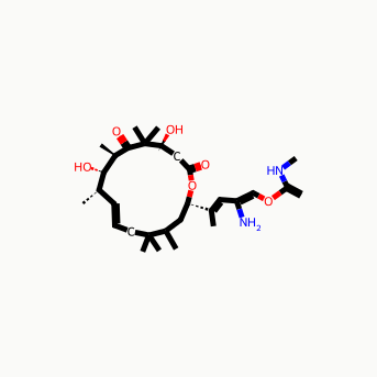 C=C(NC)O/C=C(N)/C=C(\C)[C@@H]1CC(C)C(C)(C)C/C=C/[C@H](C)[C@H](O)[C@@H](C)C(=O)C(C)(C)[C@@H](O)CC(=O)O1